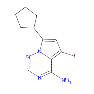 Nc1ncnn2c(C3CCCC3)cc(I)c12